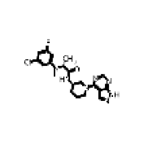 C[C@@H](Nc1cc(F)cc(Cl)c1)C(=O)N[C@@H]1CCCN(c2ncnc3[nH]ncc23)C1